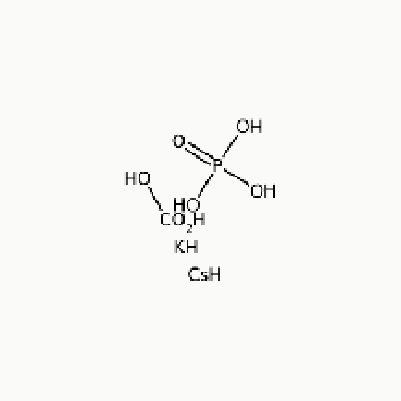 O=C(O)O.O=P(O)(O)O.[CsH].[KH]